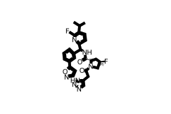 CC(C)c1ccc(C(NC(=O)[C@@H]2C[C@@H](F)CN2C(=O)Cc2cnn[nH]2)c2cccc(-c3ccno3)c2)nc1F